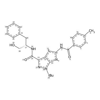 Cc1ccc(C(=O)Nc2nc3c(s2)c(C(=O)N[C@H](CO)Cc2ccccc2)nn3C(C)(C)C)cc1